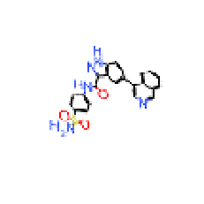 NS(=O)(=O)c1ccc(NC(=O)c2n[nH]c3ccc(-c4cncc5ccccc45)cc23)cc1